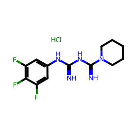 Cl.N=C(NC(=N)N1CCCCC1)Nc1cc(F)c(F)c(F)c1